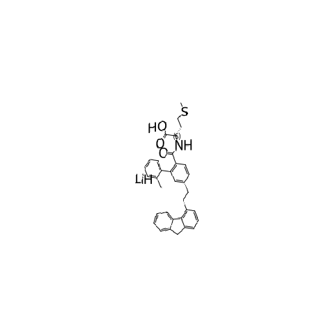 CSCC[C@H](NC(=O)c1ccc(CCc2cccc3c2-c2ccccc2C3)cc1-c1ccccc1C)C(=O)O.[LiH]